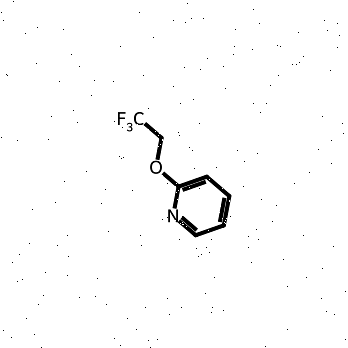 FC(F)(F)COc1ccccn1